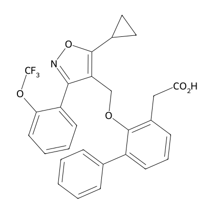 O=C(O)Cc1cccc(-c2ccccc2)c1OCc1c(-c2ccccc2OC(F)(F)F)noc1C1CC1